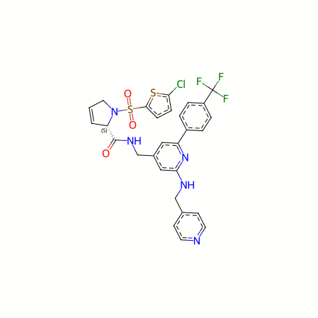 O=C(NCc1cc(NCc2ccncc2)nc(-c2ccc(C(F)(F)F)cc2)c1)[C@@H]1C=CCN1S(=O)(=O)c1ccc(Cl)s1